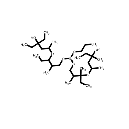 CCCOB(OCC(C)C(CC)OC(C)CC(O)(CC)CC)OCC(C)C(C)(CC)OC(C)CC(C)(O)CC